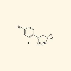 CN(CC1(C#N)CC1)c1ccc(Br)cc1F